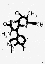 C#Cc1nc2c(-c3ccc(F)c4[nH]ncc34)c(N)c(=O)[nH]c2c(Cl)c1C